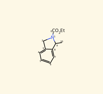 CCOC(=O)N1Cc2ccccc2C1C